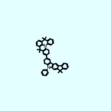 CC1(C)C2=C(CCC(C3=Cc4c(n(-c5ccccc5)c5cc6c(cc45)-c4ccccc4C6(C)C)CC3)=C2)N2c3ccccc3C(C)(C)c3cccc1c32